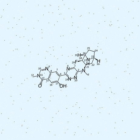 CN(c1cnc(-c2cc3ncn(C)c(=O)c3cc2O)nn1)[C@@H]1C[C@H]2CC[C@H](N2)[C@@H]1F